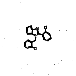 Clc1ccccc1Cn1c(-c2ccccc2Cl)nc2ccccc21